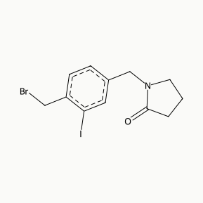 O=C1CCCN1Cc1ccc(CBr)c(I)c1